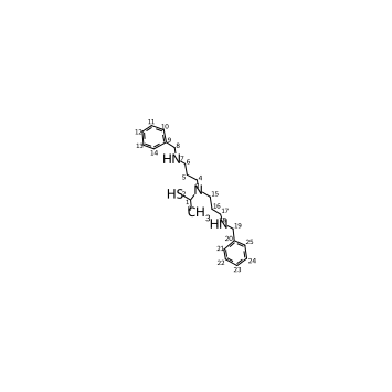 CC(S)N(CCCNCc1ccccc1)CCCNCc1ccccc1